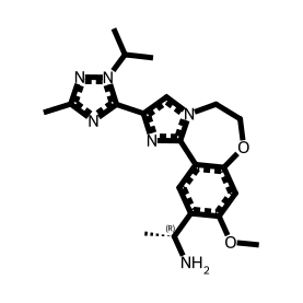 COc1cc2c(cc1[C@@H](C)N)-c1nc(-c3nc(C)nn3C(C)C)cn1CCO2